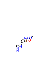 O=C(Nc1nc2ccc(-c3cnc4c(c3)CCN4)cc2s1)C1CC1